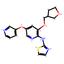 c1cncc(Oc2cnc(Nc3nccs3)c(OCC3CCOC3)c2)c1